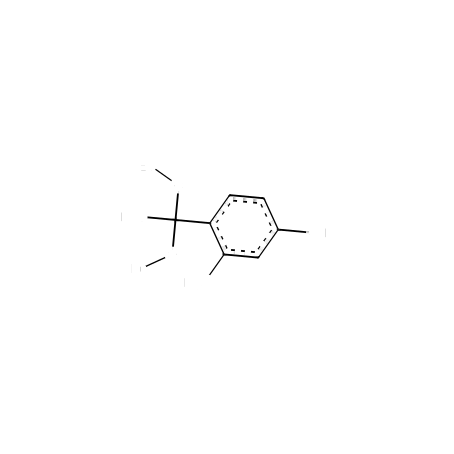 CCOC(C)(OCC)c1ccc(C)cc1C